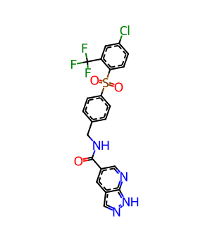 O=C(NCc1ccc(S(=O)(=O)c2ccc(Cl)cc2C(F)(F)F)cc1)c1cnc2[nH]ncc2c1